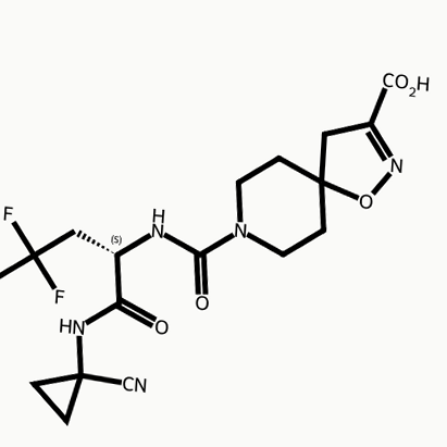 CC(F)(F)C[C@H](NC(=O)N1CCC2(CC1)CC(C(=O)O)=NO2)C(=O)NC1(C#N)CC1